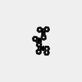 c1cc(-n2c3ccccc3c3ccccc32)cc(-n2c3ccccc3c3cc4c5ccccc5n(-c5cccc6ccccc56)c4cc32)c1